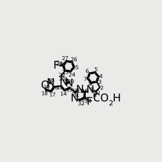 O=C(O)[C@@H]1Cc2ccccc2N1c1nc(-c2cc(-c3ccon3)n(Cc3ccccc3F)n2)ncc1F